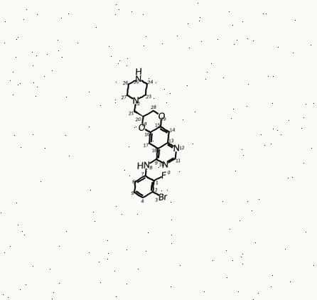 Fc1c(Br)cccc1Nc1ncnc2cc3c(cc12)O[C@@H](CN1CCNCC1)CO3